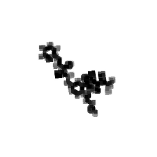 COCCOc1ccc(CCNC(=O)/C=C/c2ccccn2)cc1S(=O)(=O)NC(=S)NC(C)C